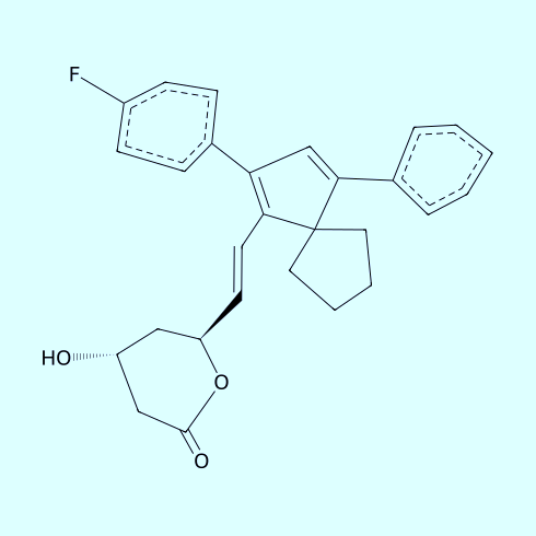 O=C1C[C@H](O)C[C@@H](/C=C/C2=C(c3ccc(F)cc3)C=C(c3ccccc3)C23CCCC3)O1